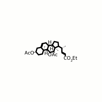 CCOC(=O)/C=C/[C@@H](C)C1CC[C@H]2[C@@H]3CC=C4C[C@@H](OC(C)=O)CC[C@]4(C)[C@H]3C[C@@H](OC(C)=O)[C@]12C